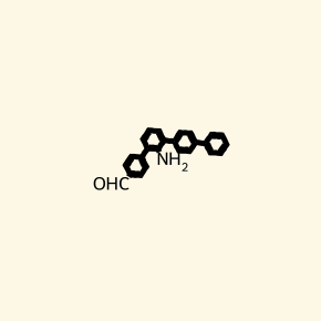 Nc1c(-c2ccc(C=O)cc2)cccc1-c1ccc(-c2ccccc2)cc1